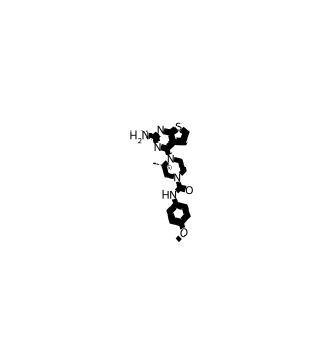 COc1ccc(NC(=O)N2CCN(c3nc(N)nc4sccc34)[C@@H](C)C2)cc1